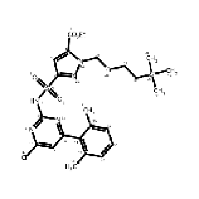 CCOC(=O)c1cc(S(=O)(=O)Nc2nc(Cl)cc(-c3c(C)cccc3C)n2)nn1COCC[Si](C)(C)C